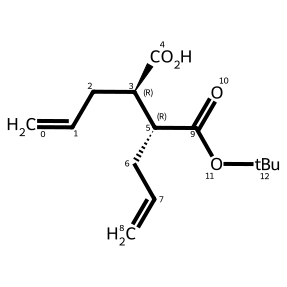 C=CC[C@@H](C(=O)O)[C@@H](CC=C)C(=O)OC(C)(C)C